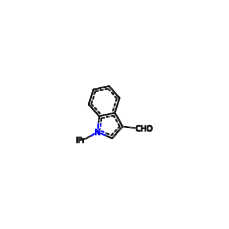 CC(C)n1cc(C=O)c2ccccc21